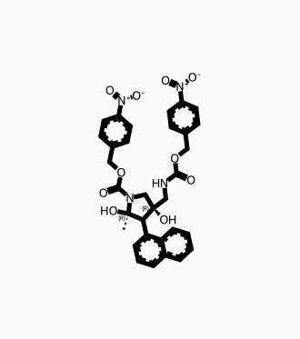 C[C@@]1(O)C(c2cccc3ccccc23)[C@@](O)(CNC(=O)OCc2ccc([N+](=O)[O-])cc2)CN1C(=O)OCc1ccc([N+](=O)[O-])cc1